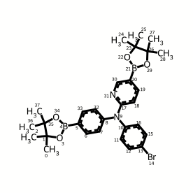 CC1(C)OB(c2ccc(N(c3ccc(Br)cc3)c3ccc(B4OC(C)(C)C(C)(C)O4)cn3)cc2)OC1(C)C